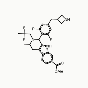 COC(=O)c1ccc2c3c([nH]c2c1)C(c1c(F)cc(CC2CNC2)cc1F)N(CC(C)(F)F)C(C)C3